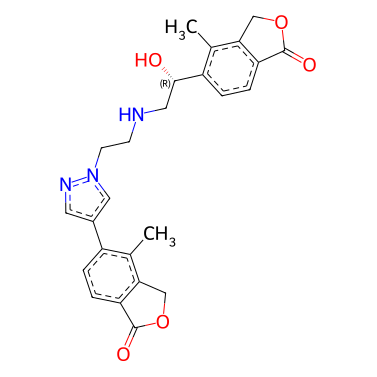 Cc1c(-c2cnn(CCNC[C@H](O)c3ccc4c(c3C)COC4=O)c2)ccc2c1COC2=O